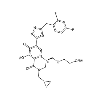 COCCOC[C@H]1CN(CC2CC2)C(=O)c2c(O)c(=O)c(-c3nnc(Cc4ccc(F)cc4F)s3)cn21